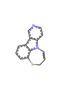 C1=Cn2c3ccncc3c3cccc(c32)SC1